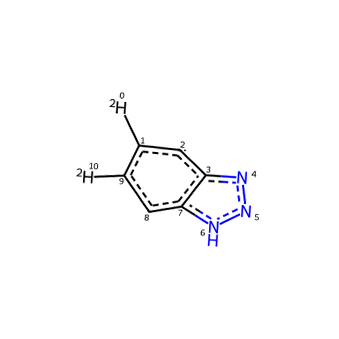 [2H]c1[c]c2nn[nH]c2cc1[2H]